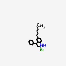 CCCCCCc1ccc2c(c1)C(c1ccccc1)=CC(Br)N2